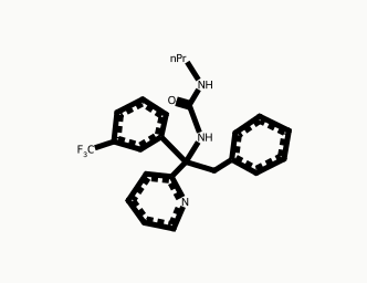 CCCNC(=O)NC(Cc1ccccc1)(c1cccc(C(F)(F)F)c1)c1ccccn1